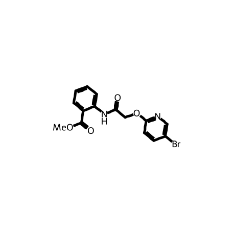 COC(=O)c1ccccc1NC(=O)COc1ccc(Br)cn1